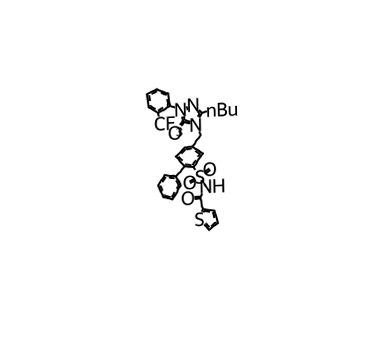 CCCCc1nn(-c2ccccc2C(F)(F)F)c(=O)n1Cc1ccc(-c2ccccc2)c(S(=O)(=O)NC(=O)c2cccs2)c1